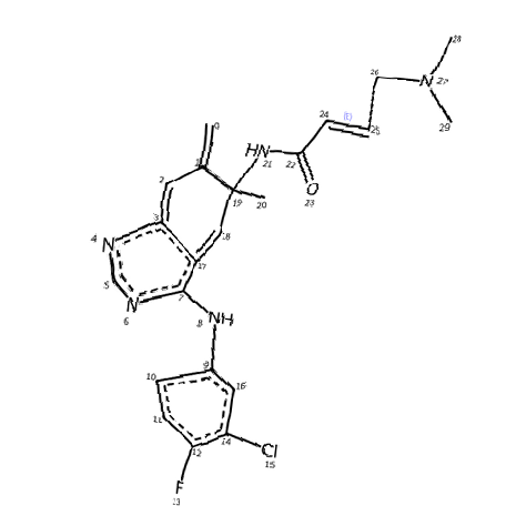 C=C1C=c2ncnc(Nc3ccc(F)c(Cl)c3)c2=CC1(C)NC(=O)/C=C/CN(C)C